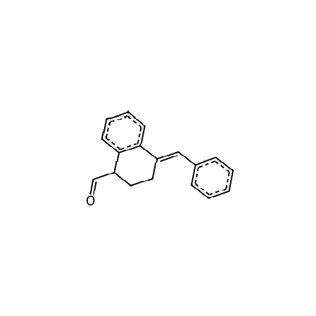 O=CC1CCC(=Cc2ccccc2)c2ccccc21